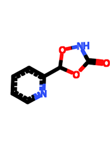 O=C1NOC(c2ccccn2)O1